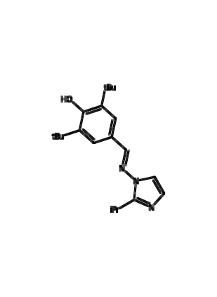 CC(C)c1nccn1/N=C/c1cc(C(C)(C)C)c(O)c(C(C)(C)C)c1